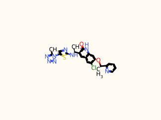 Cc1nnnn1-c1cnc(N[C@@H](C)c2cc3cc(Cl)c(O[C@H](C)c4ccccn4)cc3[nH]c2=O)s1